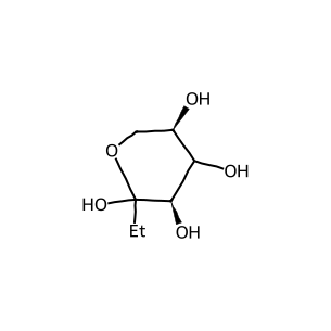 CCC1(O)OC[C@@H](O)C(O)[C@H]1O